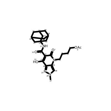 CC(=O)OCCCCn1c(=O)c(C(=O)NC23CC4CC(CC(C4)C2)C3)c(O)c2nn(C)cc21